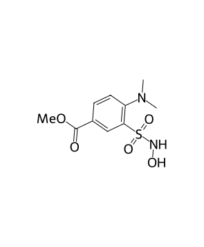 COC(=O)c1ccc(N(C)C)c(S(=O)(=O)NO)c1